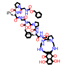 CC(C)C[C@H](NC(=O)[C@@H]1CCCN1C(=O)CNC(=O)OCc1ccccc1)C(=O)NCC(=O)N(CC(=O)N1CCC[C@H]1C(=O)N[C@@H](CC(C)C)C(=O)NCC(=O)[C@@]12CCCN1CCNc1ccc(c3c1C(=O)c1c(O)ccc(O)c1C3=O)NCCNC2=O)C(=O)OCc1ccccc1